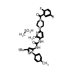 CS(=O)(=O)O.Cc1ccc(-n2nc(C(C)(C)C)cc2NC(=O)Nc2ccc(N3CCN(C(=O)c4cc(F)ccc4F)CC3)nc2C)cc1